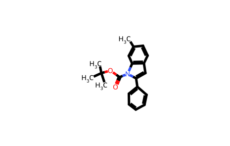 Cc1ccc2cc(-c3ccccc3)n(C(=O)OC(C)(C)C)c2c1